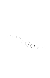 CCCCC/C=C/COc1cnc(-c2ccc(CCCCCCCC)cc2)nc1